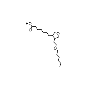 CCCCCCOCCC1COCC1CCCCCCC(=O)O